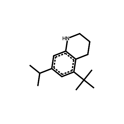 CC(C)c1cc2c(c(C(C)(C)C)c1)CCCN2